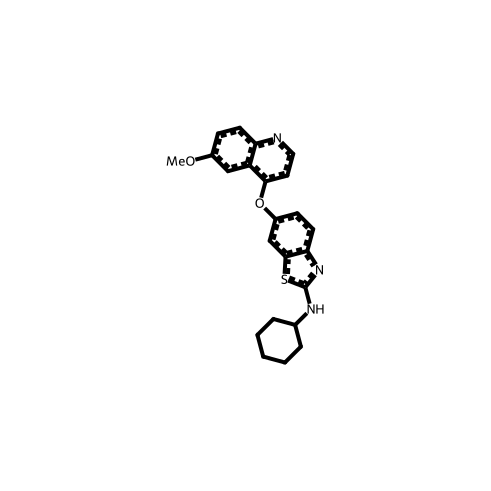 COc1ccc2nccc(Oc3ccc4nc(NC5CCCCC5)sc4c3)c2c1